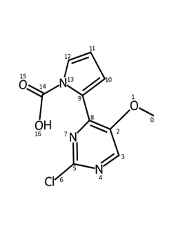 COc1cnc(Cl)nc1-c1cccn1C(=O)O